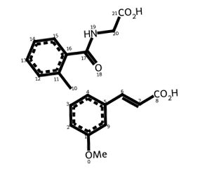 COc1cccc(C=CC(=O)O)c1.Cc1ccccc1C(=O)NCC(=O)O